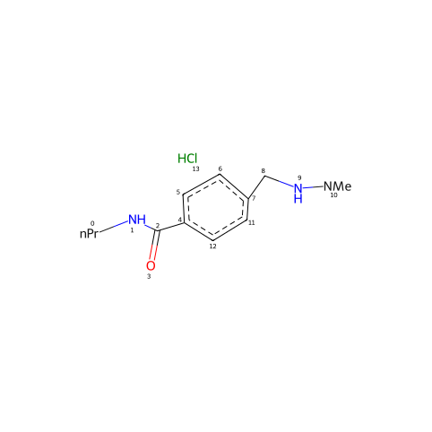 CCCNC(=O)c1ccc(CNNC)cc1.Cl